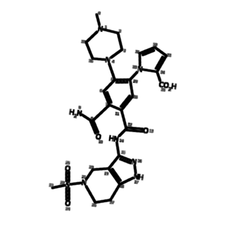 CN1CCN(c2cc(C(N)=O)c(C(=O)Nc3n[nH]c4c3CN(S(C)(=O)=O)CC4)cc2-n2cccc2C(=O)O)CC1